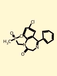 CP(C)(=O)CN1C(=O)CN=C(c2ccccc2)c2cc(Cl)ccc21